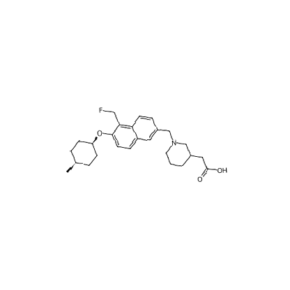 C[C@H]1CC[C@@H](Oc2ccc3cc(CN4CCCC(CC(=O)O)C4)ccc3c2CF)CC1